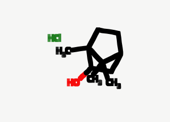 CC1(C)C2CCC1(C)C(O)C2.Cl